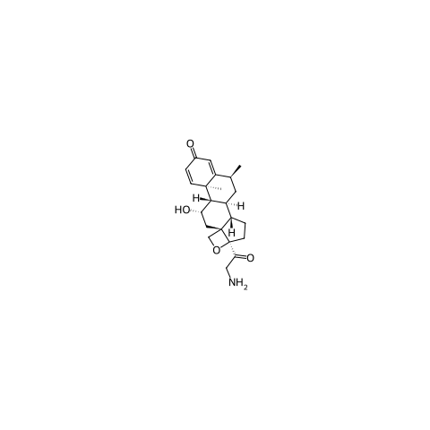 C[C@H]1C[C@@H]2[C@H]([C@@H](O)C[C@]34CO[C@]3(C(=O)CN)CC[C@@H]24)[C@@]2(C)C=CC(=O)C=C12